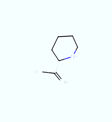 C=C([C@@H]1CCCCN1)C(C)(C)C